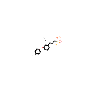 CC(C)(C)c1ccc(Oc2cccc(CCCC(P(=O)([O-])[O-])S(=O)(=O)[O-])c2)cc1.[K+].[K+].[K+]